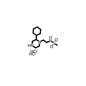 CS(=O)(=O)NCCN1CCNCC1C1CCCCC1.Cl.Cl